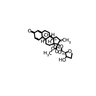 COC(=O)[C@@]1(OC(=O)[C@H]2OCCC2O)[C@H](C)C[C@H]2[C@@H]3CCC4=CC(=O)C=C[C@]4(C)[C@H]3CC[C@@]21C